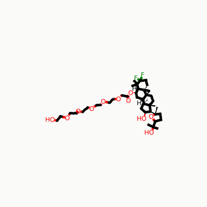 CC(C)(O)C1CC[C@@](C)([C@H]2[C@@H](O)C[C@@]3(C)[C@@H]4C[C@H](OC(=O)COCCOCCOCCOCCOCCO)[C@H]5C(C)(C)C(F)(F)CC[C@@]56C[C@@]46CC[C@]23C)O1